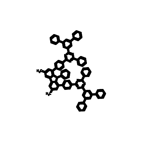 Cc1cc(-c2ccc(-c3nc(-c4ccccc4)nc(-c4cc(-c5ccccc5)cc(-c5ccccc5)c4)n3)cc2)c2c(c1)c1cc(C)cc(-c3ccc(-c4nc(-c5ccccc5)nc(-c5cc(-c6ccccc6)cc(-c6ccccc6)c5)n4)cc3)c1n2-c1ccccc1